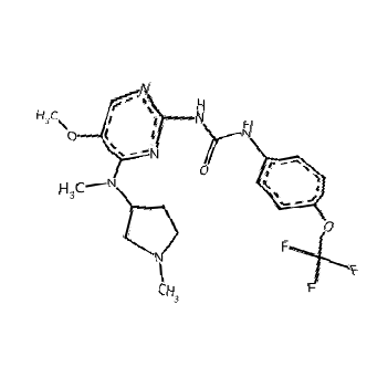 COc1cnc(NC(=O)Nc2ccc(OC(F)(F)F)cc2)nc1N(C)C1CCN(C)C1